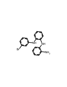 Nc1ccccc1Nc1ccccc1Nc1cccc(Br)c1